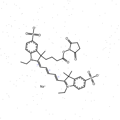 CCN1/C(=C/C=C/C=C/C2=[N+](CC)c3ccc(S(=O)(=O)[O-])cc3C2(C)C)C(C)(CCCC(=O)ON2C(=O)CCC2=O)c2cc(S(=O)(=O)[O-])ccc21.[Na+]